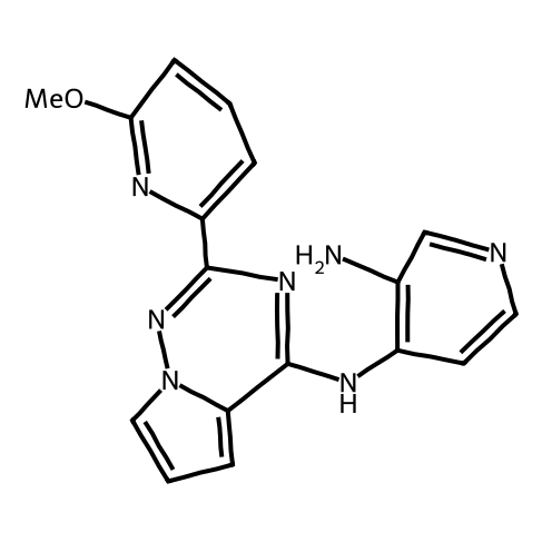 COc1cccc(-c2nc(Nc3ccncc3N)c3cccn3n2)n1